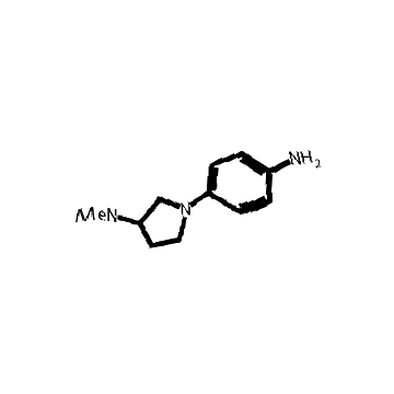 CNC1CCN(c2ccc(N)cc2)C1